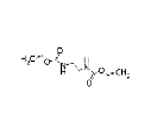 C=COC(=O)NCCNC(=O)OC=C